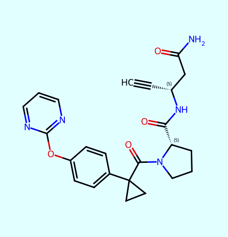 C#C[C@H](CC(N)=O)NC(=O)[C@@H]1CCCN1C(=O)C1(c2ccc(Oc3ncccn3)cc2)CC1